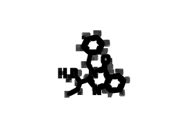 BC(CC)c1nc2ccccc2c(=O)n1Cc1ccccc1